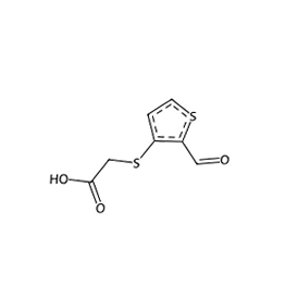 O=Cc1sccc1SCC(=O)O